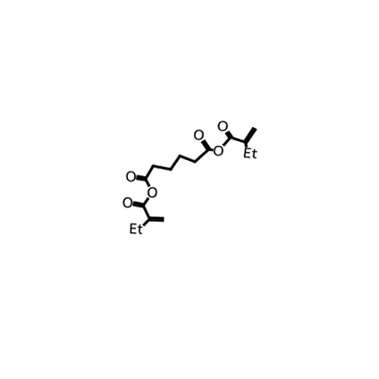 C=C(CC)C(=O)OC(=O)CCCCC(=O)OC(=O)C(=C)CC